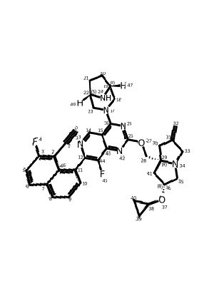 C#Cc1c(F)ccc2cccc(-c3ncc4c(N5C[C@H]6CC[C@@H](C5)N6)nc(OC[C@]56CC(=C)CN5C[C@H](OC5CC5)C6)nc4c3F)c12